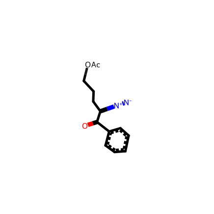 CC(=O)OCCCC(=[N+]=[N-])C(=O)c1ccccc1